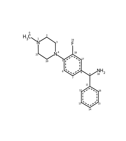 CN1CCN(c2ccc(C(N)c3ccccc3)cc2F)CC1